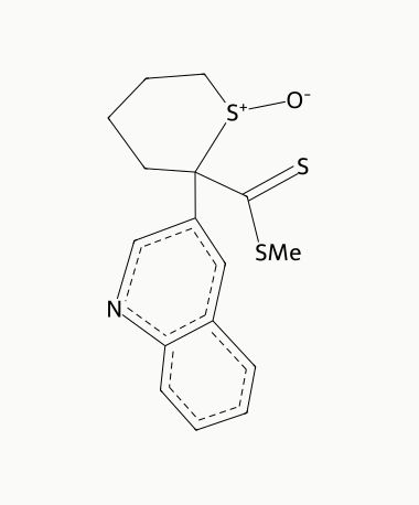 CSC(=S)C1(c2cnc3ccccc3c2)CCCC[S+]1[O-]